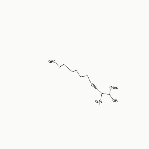 CCCCCCC(O)C(C#CCCCCCC[C]=O)[N+](=O)[O-]